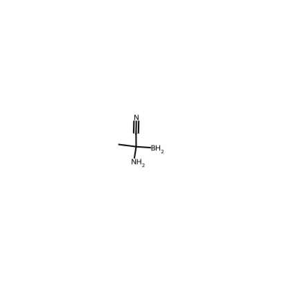 BC(C)(N)C#N